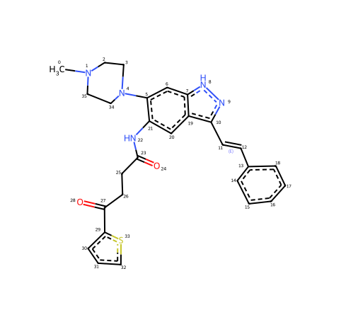 CN1CCN(c2cc3[nH]nc(/C=C/c4ccccc4)c3cc2NC(=O)CCC(=O)c2cccs2)CC1